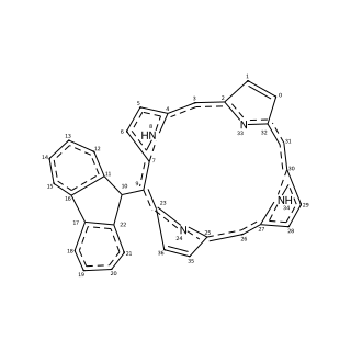 C1=Cc2cc3ccc([nH]3)c(C3c4ccccc4-c4ccccc43)c3nc(cc4ccc(cc1n2)[nH]4)C=C3